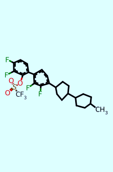 CC1CCC(C2CCC(c3ccc(-c4ccc(F)c(F)c4OS(=O)(=O)C(F)(F)F)c(F)c3F)CC2)CC1